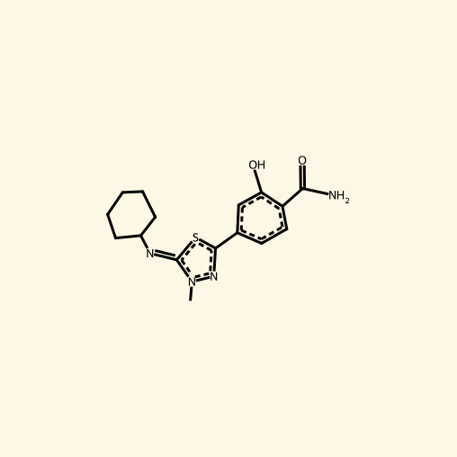 Cn1nc(-c2ccc(C(N)=O)c(O)c2)sc1=NC1CCCCC1